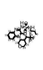 CCCNS(=O)(=O)Nc1nc2ccccc2nc1OC(C1CCOCC1)C(F)(F)F